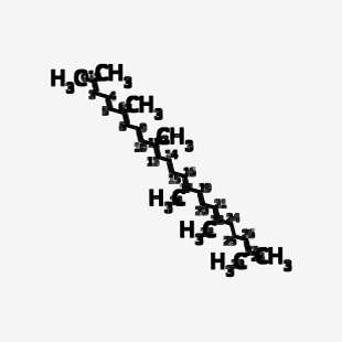 CC(C)=C/C=C/C(C)=C/C=C/C(C)=C/C=C/C=C(C)/C=C/C=C(\C)CCC=C(C)C